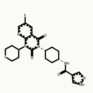 O=C(N[C@H]1CC[C@@H](n2c(=O)c3cc(F)cnc3n(C3CCSCC3)c2=O)CC1)c1cn[nH]c1